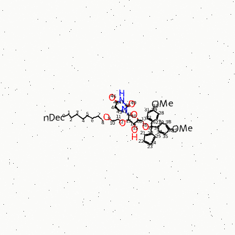 CCCCCCCCCCCCCCCCCCOCCOC1C(O)C(COC(c2ccccc2)(c2ccc(OC)cc2)c2ccc(OC)cc2)OC1n1ccc(=O)[nH]c1=O